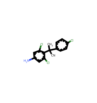 CC(C#N)(c1ccc(Cl)cc1)c1c(Cl)cc(N)cc1Cl